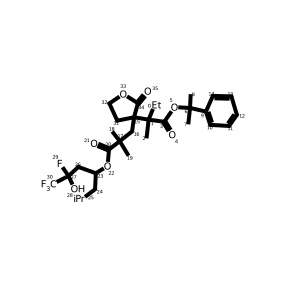 CCC(C)(C(=O)OC(C)(C)c1ccccc1)C1(CC(C)(C)C(=O)OC(CC(C)C)CC(O)(F)C(F)(F)F)CCOC1=O